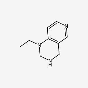 CCN1CNCc2cnccc21